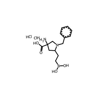 Cl.Cl.NC1(C(=O)O)CC(CCB(O)O)N(Cc2ccccc2)C1